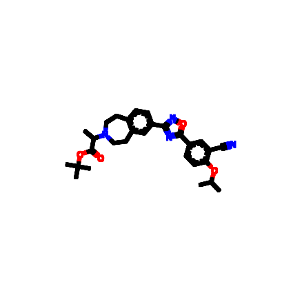 CC(C)Oc1ccc(-c2nc(-c3ccc4c(c3)CCN(C(C)C(=O)OC(C)(C)C)CC4)no2)cc1C#N